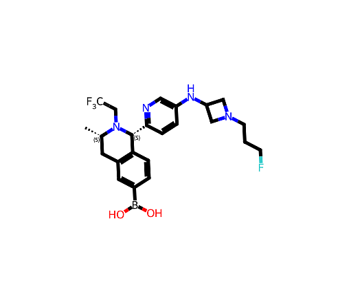 C[C@H]1Cc2cc(B(O)O)ccc2[C@@H](c2ccc(NC3CN(CCCF)C3)cn2)N1CC(F)(F)F